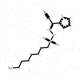 CCCCCCCCS(=O)(=O)O/N=C(/C#N)c1cccs1